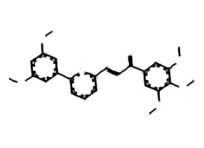 COc1cc(OC)cc(-c2cccc(C=CC(=O)c3cc(OC)c(OC)c(OC)c3)n2)c1